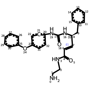 NCCNC(=O)/C=C/[C@H](Cc1ccccc1)NC(=O)Nc1ccc(Oc2ccccc2)cc1